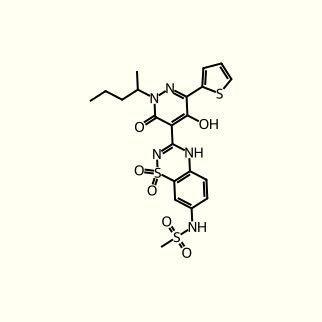 CCCC(C)n1nc(-c2cccs2)c(O)c(C2=NS(=O)(=O)c3cc(NS(C)(=O)=O)ccc3N2)c1=O